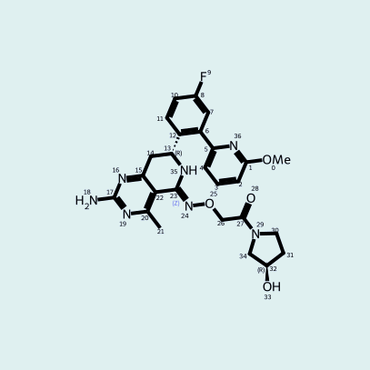 COc1cccc(-c2cc(F)ccc2[C@H]2Cc3nc(N)nc(C)c3/C(=N/OCC(=O)N3CC[C@@H](O)C3)N2)n1